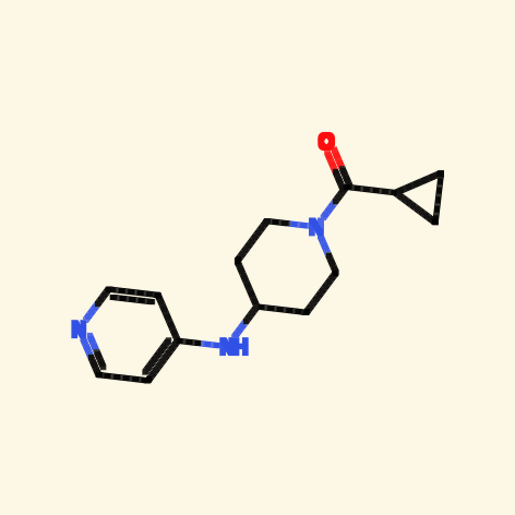 O=C(C1CC1)N1CCC(Nc2ccncc2)CC1